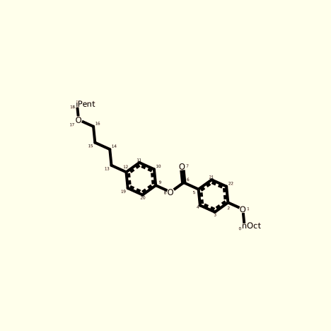 CCCCCCCCOc1ccc(C(=O)Oc2ccc(CCCCOC(C)CCC)cc2)cc1